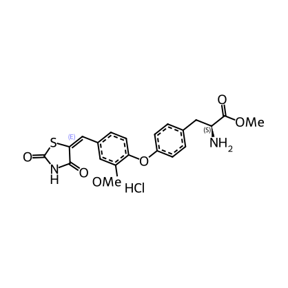 COC(=O)[C@@H](N)Cc1ccc(Oc2ccc(/C=C3/SC(=O)NC3=O)cc2OC)cc1.Cl